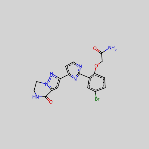 NC(=O)COc1ccc(Br)cc1-c1nccc(-c2cc3n(n2)CCNC3=O)n1